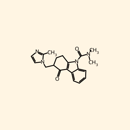 Cc1nccn1CC1CCc2c(c3ccccc3n2C(=O)N(C)C)C1=O